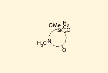 CO[Si]1(C)CCCN(C)CCC(=O)CCC1=O